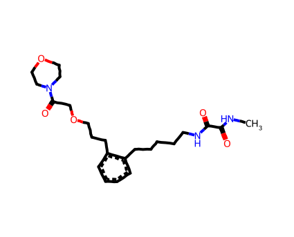 CNC(=O)C(=O)NCCCCCc1ccccc1CCCOCC(=O)N1CCOCC1